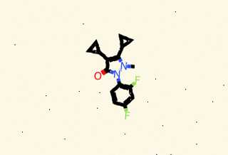 Cn1c(C2CC2)c(C2CC2)c(=O)n1-c1ccc(F)cc1F